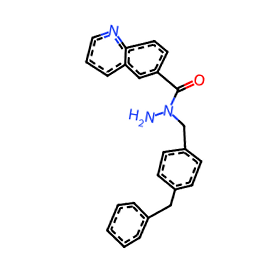 NN(Cc1ccc(Cc2ccccc2)cc1)C(=O)c1ccc2ncccc2c1